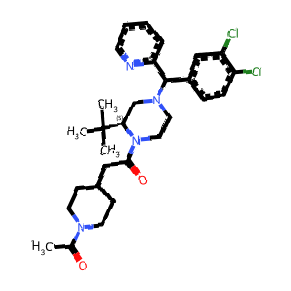 CC(=O)N1CCC(CC(=O)N2CCN(C(c3ccc(Cl)c(Cl)c3)c3ccccn3)C[C@@H]2C(C)(C)C)CC1